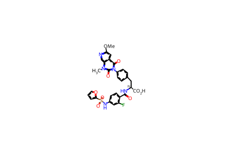 COc1cc2c(=O)n(-c3ccc(C[C@H](NC(=O)c4ccc(NS(=O)(=O)c5ccco5)cc4F)C(=O)O)cc3)c(=O)n(C)c2cn1